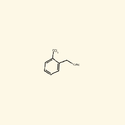 CC(=O)OCc1ccccc1C(Cl)(Cl)Cl